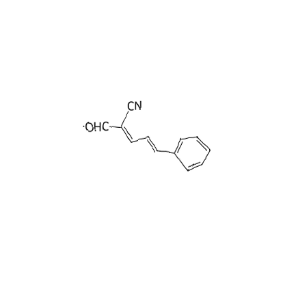 N#C/C([C]=O)=C\C=C\c1ccccc1